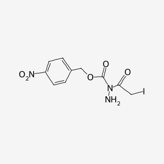 NN(C(=O)CI)C(=O)OCc1ccc([N+](=O)[O-])cc1